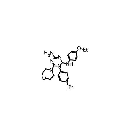 CCOc1ccc(NC2N=C(N)N=C(N3CCOCC3)N2c2ccc(C(C)C)cc2)cc1